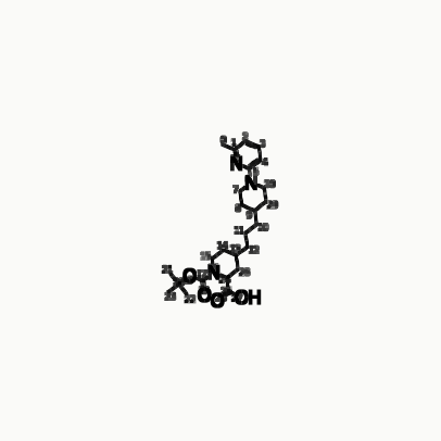 Cc1cccc(N2CCC(CCCC3CCN(C(=O)OC(C)(C)C)C(C(=O)O)C3)CC2)n1